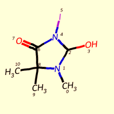 CN1C(O)N(I)C(=O)C1(C)C